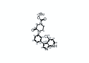 CC(C)(C)OC(=O)N1CCN(c2cccc(-c3cnc4[nH]ccc(Cl)c3-4)c2)C(=O)C1